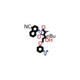 CCCC[C@](O)(CCOc1cccc(N(C)C)c1)[C@H]1C(=O)N(c2ccc(C#N)c3ccccc23)C(=O)[C@H]1C